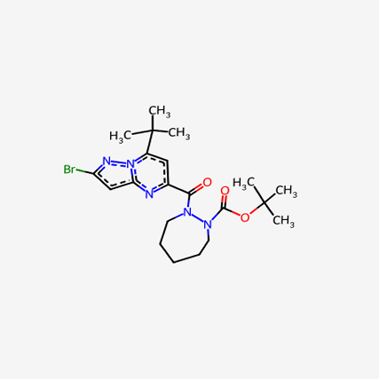 CC(C)(C)OC(=O)N1CCCCCN1C(=O)c1cc(C(C)(C)C)n2nc(Br)cc2n1